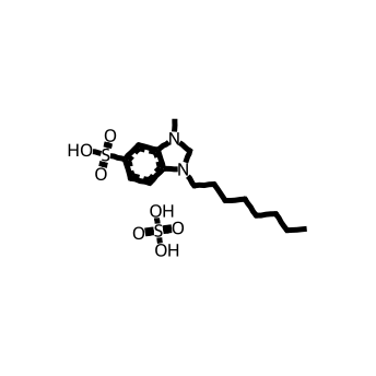 CCCCCCCCN1CN(C)c2cc(S(=O)(=O)O)ccc21.O=S(=O)(O)O